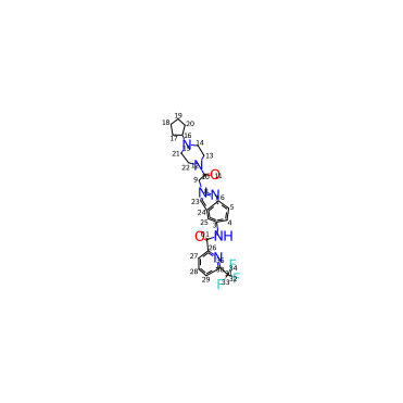 O=C(Nc1ccc2nn(CC(=O)N3CCN(C4CCCC4)CC3)cc2c1)c1cccc(C(F)(F)F)n1